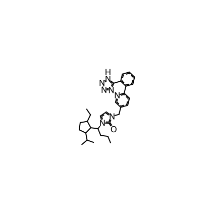 CCCC(C1C(CC)CCC1C(C)C)n1ccn(Cc2ccc(-c3ccccc3-c3nnn[nH]3)nc2)c1=O